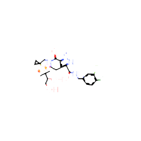 Cn1nc(C(=O)NCc2ccc(Cl)c(F)c2)c2c1C(=O)N(CC1(S(=O)(=O)C(C)(C)[C@@H](O)CO)CC1)CC2